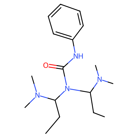 CCC(N(C)C)N(C(=O)Nc1ccccc1)C(CC)N(C)C